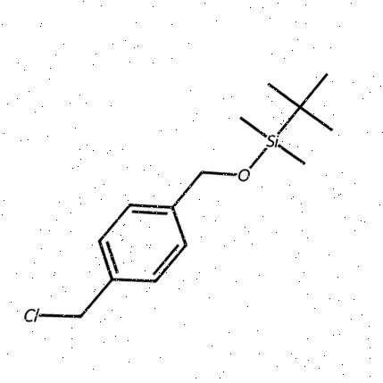 CC(C)(C)[Si](C)(C)OCc1ccc(CCl)cc1